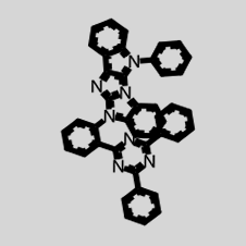 c1ccc(-c2nc(-c3ccccc3)nc(-c3ccccc3-n3c4ccccc4n4c3nc3c5ccccc5n(-c5ccccc5)c34)n2)cc1